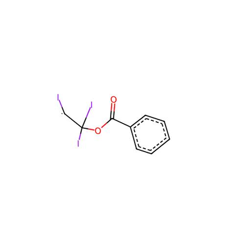 O=C(OC(I)(I)[CH]I)c1ccccc1